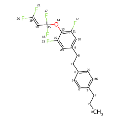 CCCc1ccc(CCc2cc(F)c(OC(F)(F)C=C(F)F)c(F)c2)cc1